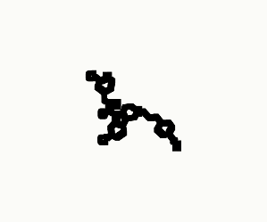 N#Cc1ccc(C=CCN2CCc3c(c4ccc(Cl)cc4n3C(=O)NCc3ccnc(Cl)c3)C2)cc1